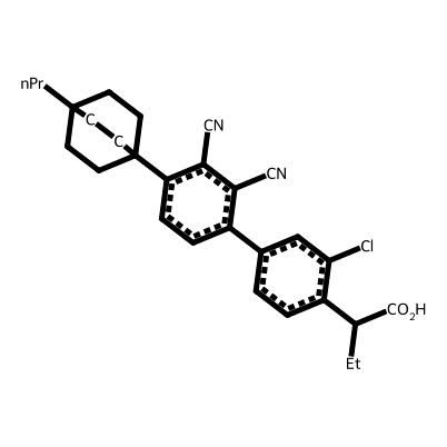 CCCC12CCC(c3ccc(-c4ccc(C(CC)C(=O)O)c(Cl)c4)c(C#N)c3C#N)(CC1)CC2